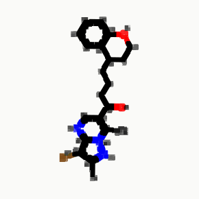 CCc1c(C(=O)CCCC2CCOc3ccccc32)cnc2c(Br)c(C)nn12